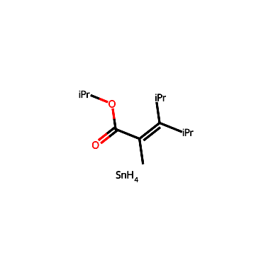 CC(C(=O)OC(C)C)=C(C(C)C)C(C)C.[SnH4]